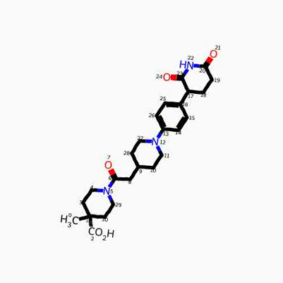 CC1(C(=O)O)CCN(C(=O)CC2CCN(c3ccc(C4CCC(=O)NC4=O)cc3)CC2)CC1